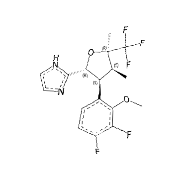 COc1c([C@H]2[C@H](c3ncc[nH]3)O[C@@](C)(C(F)(F)F)[C@H]2C)ccc(F)c1F